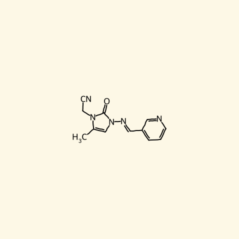 Cc1cn(N=Cc2cccnc2)c(=O)n1CC#N